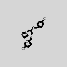 Clc1ccc(COC(CSCc2ccc(Cl)cc2)Cn2ccnc2)cc1